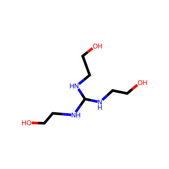 OCCN[C](NCCO)NCCO